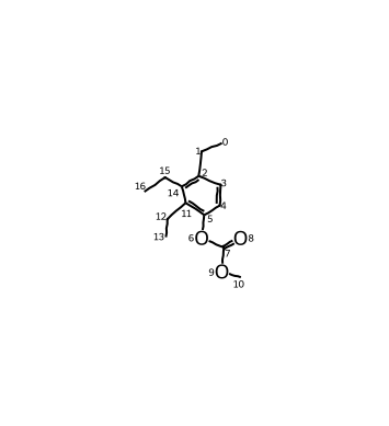 CCc1ccc(OC(=O)OC)c(CC)c1CC